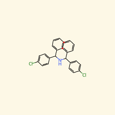 Clc1ccc(C(NC(c2ccccc2)c2ccc(Cl)cc2)c2ccccc2)cc1